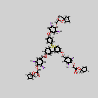 CC(C)C1(OC(=O)COc2c(I)cc(COc3ccc4c(c3)-c3cc(OCc5cc(I)c(OCC(=O)OC6(C(C)C)CCCC6)c(I)c5)ccc3[SH]4c3ccc(Oc4cc(I)c(OCC(=O)OC5(C(C)C)CCCC5)c(I)c4)cc3)cc2I)CCCC1